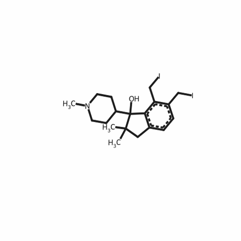 CN1CCC(C2(O)c3c(ccc(CI)c3CI)CC2(C)C)CC1